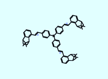 CC1(C)C2CCC1c1c(/C=C/c3ccc(N(c4ccc(/C=C/c5cccc6c5C5CCC6C5(C)C)cc4)c4ccc(/C=C/c5cccc6c5C5CCC6C5(C)C)cc4)cc3)cccc12